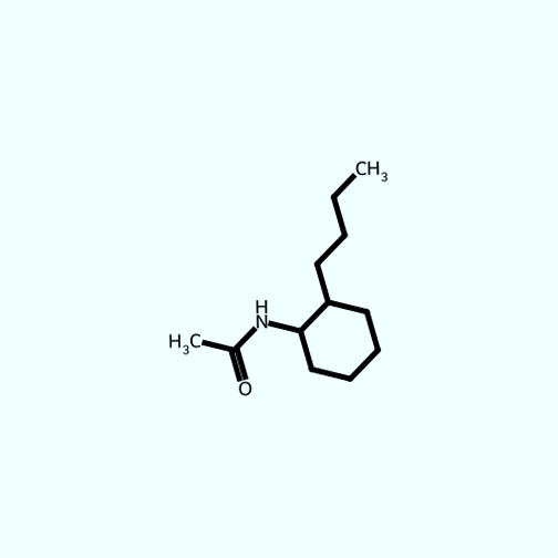 CCCCC1CCCCC1NC(C)=O